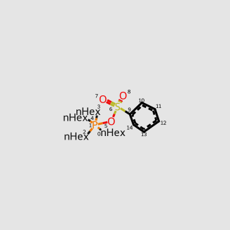 CCCCCCP(CCCCCC)(CCCCCC)(CCCCCC)OS(=O)(=O)c1ccccc1